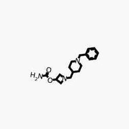 NC(=O)OC1CN(CC2CCN(Cc3ccccc3)CC2)C1